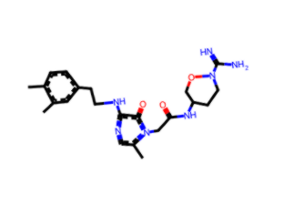 Cc1ccc(CCNc2ncc(C)n(CC(=O)NC3CCN(C(=N)N)OC3)c2=O)cc1C